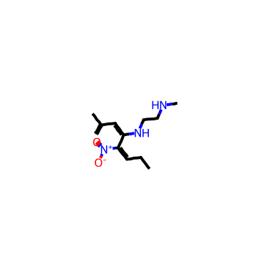 C=C(C)/C=C(NCCNC)\C(=C/CC)[N+](=O)[O-]